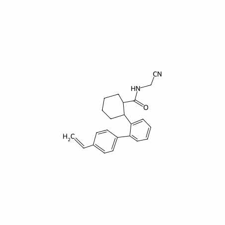 C=Cc1ccc(-c2ccccc2C2CCCCC2C(=O)NCC#N)cc1